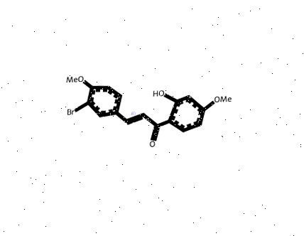 COc1ccc(C(=O)/C=C/c2ccc(OC)c(Br)c2)c(O)c1